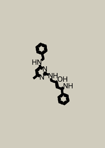 Cc1cc(NCc2ccccc2)nc(NC/C(O)=C/C(=N)c2ccccc2)n1